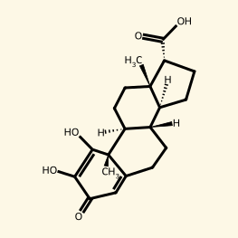 C[C@@]12C(=CC(=O)C(O)=C1O)CC[C@@H]1[C@@H]2CC[C@]2(C)[C@H](C(=O)O)CC[C@@H]12